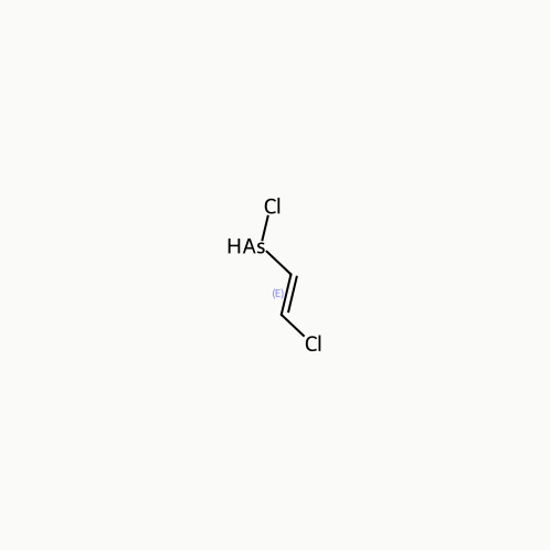 Cl/C=C/[AsH]Cl